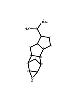 COC(C)C1CCC2C1CC1C3CC(C4OC34)C21